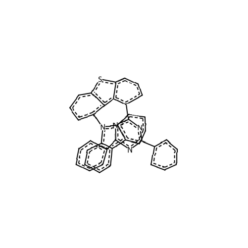 c1ccc(-c2nc(-c3ccccc3)nc(-c3cccc4sc5cccc(-n6c7ccccc7c7ccccc76)c5c34)n2)cc1